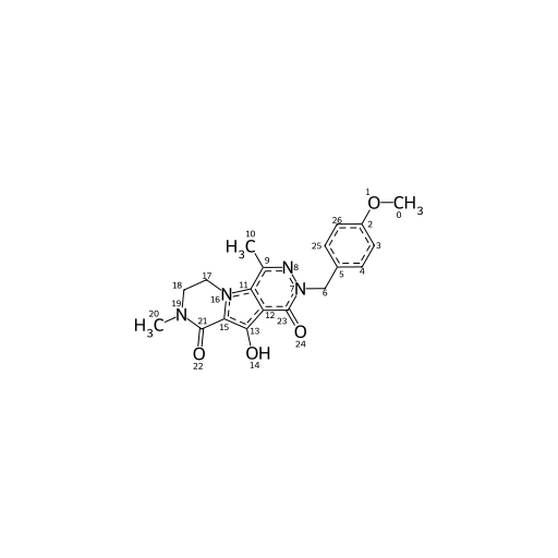 COc1ccc(Cn2nc(C)c3c(c(O)c4n3CCN(C)C4=O)c2=O)cc1